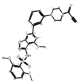 C#CC(=O)N1CCN(c2cccc(-c3nc(OC)c4c(NS(=O)(=O)c5c(OC)cccc5OC)noc4n3)c2)CC1